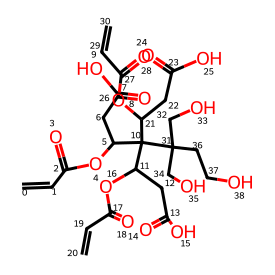 C=CC(=O)OC(CC(=O)O)C(C(CC(=O)O)OC(=O)C=C)(C(CC(=O)O)OC(=O)C=C)C(CO)(CO)CCO